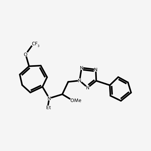 CCN(C1=CCC=C(OC(F)(F)F)C=C1)C(Cn1nnc(-c2ccccc2)n1)OC